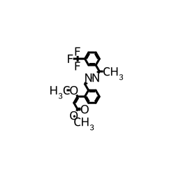 COC(=O)/C=C(/OC)c1ccccc1/C=N\N=C(\C)c1cccc(C(F)(F)F)c1